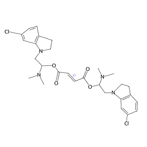 CN(C)C(CN1CCc2ccc(Cl)cc21)OC(=O)/C=C/C(=O)OC(CN1CCc2ccc(Cl)cc21)N(C)C